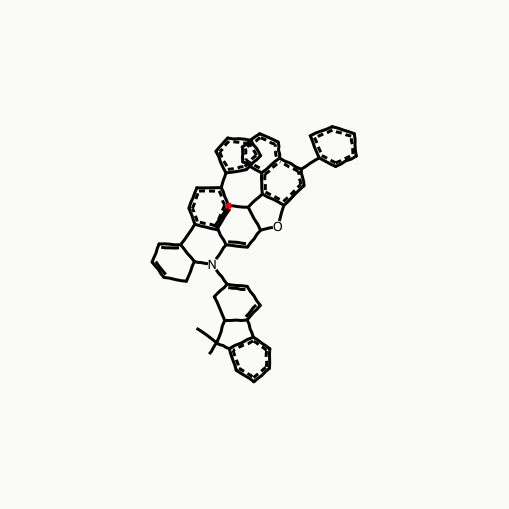 CC1(C)c2ccccc2C2=CC=C(N(C3=CC4Oc5cc(-c6ccccc6)c6ccccc6c5C4C=C3)C3CC=CC=C3c3ccc(-c4ccccc4)cc3)CC21